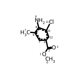 COC(=O)c1cc(C)c(N)c(Cl)c1